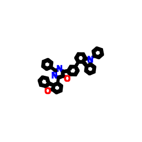 c1ccc(-c2nc(-c3cccc4oc5ccccc5c34)c3oc4ccc(-c5cccc6c5c5ccccc5n6-c5ccccc5)cc4c3n2)cc1